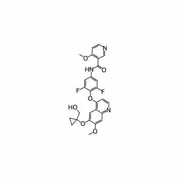 COc1cc2nccc(Oc3c(F)cc(NC(=O)c4cnccc4OC)cc3F)c2cc1OC1(CO)CC1